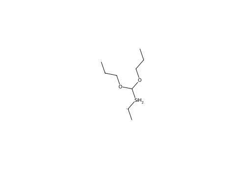 C[CH][SiH2]C(OCCC)OCCC